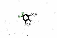 CC1=C(C(=O)O)CC(Br)(Br)C=C1C(=O)O